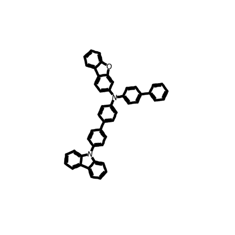 c1ccc(-c2ccc(N(c3ccc(-c4ccc(-n5c6ccccc6c6ccccc65)cc4)cc3)c3ccc4c(c3)oc3ccccc34)cc2)cc1